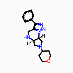 c1ccc(-c2nnn3c2CN[C@@H]2CN(C4CCOCC4)C[C@H]23)cc1